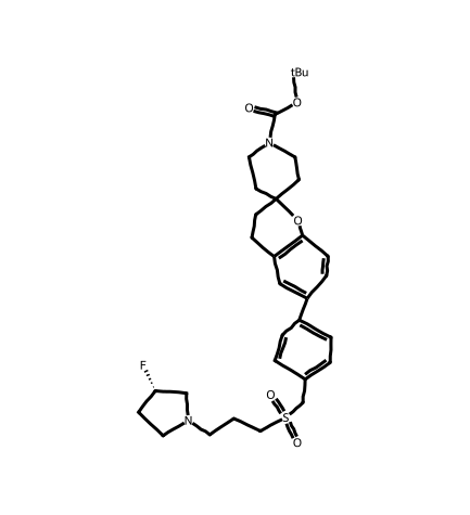 CC(C)(C)OC(=O)N1CCC2(CCc3cc(-c4ccc(CS(=O)(=O)CCCN5CC[C@H](F)C5)cc4)ccc3O2)CC1